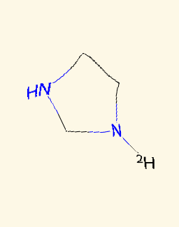 [2H]N1CCNC1